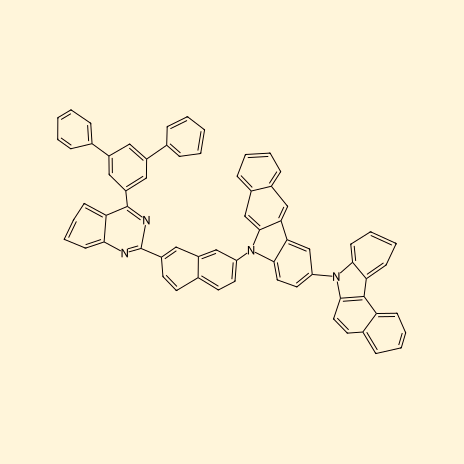 c1ccc(-c2cc(-c3ccccc3)cc(-c3nc(-c4ccc5ccc(-n6c7ccc(-n8c9ccccc9c9c%10ccccc%10ccc98)cc7c7cc8ccccc8cc76)cc5c4)nc4ccccc34)c2)cc1